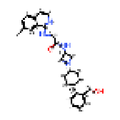 Cc1ccc2ccnc(NCC(=O)NC3CN([C@H]4CC[C@@H](c5ccccc5CO)CC4)C3)c2c1